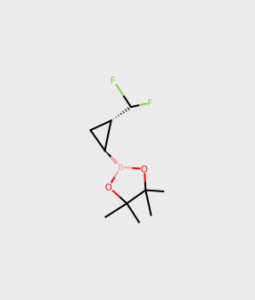 CC1(C)OB([C@H]2C[C@@H]2C(F)F)OC1(C)C